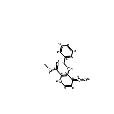 COC(=O)C1=C(OCc2ccccc2)C(=C=O)C=CO1